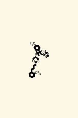 CC(C)(S[C@H]1CO[C@H](C=CC=Cc2ccccc2C(F)(F)F)OC1)C(O)(Cn1cncn1)c1ccc(C(F)(F)F)cc1